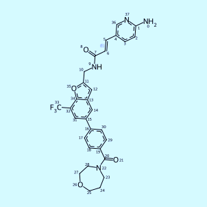 Nc1ccc(/C=C/C(=O)NCc2cc3cc(-c4ccc(C(=O)N5CCCOCC5)cc4)cc(C(F)(F)F)c3o2)cn1